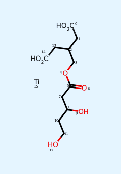 O=C(O)CC(COC(=O)CC(O)CCO)CC(=O)O.[Ti]